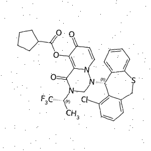 C[C@@H](N1CN([C@@H]2c3ccccc3SCc3cccc(Cl)c32)n2ccc(=O)c(OC(=O)C3CCCC3)c2C1=O)C(F)(F)F